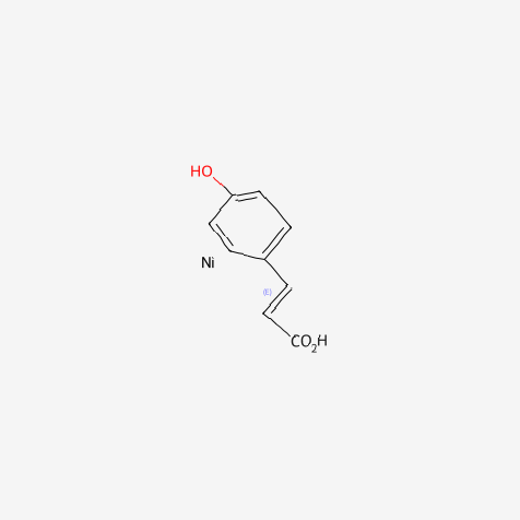 O=C(O)/C=C/c1ccc(O)cc1.[Ni]